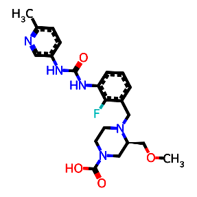 COC[C@H]1CN(C(=O)O)CCN1Cc1cccc(NC(=O)Nc2ccc(C)nc2)c1F